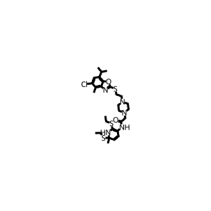 CCSC1=C(NC(=O)CN2CCN(CCSc3nc4c(C)c(Cl)cc(C(C)C)c4o3)CC2)C=CC(C)(SCC)N1